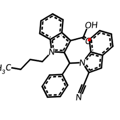 CCCCn1c(C(c2ccccc2)n2c(C#N)cc3ccccc32)c(C(=O)O)c2ccccc21